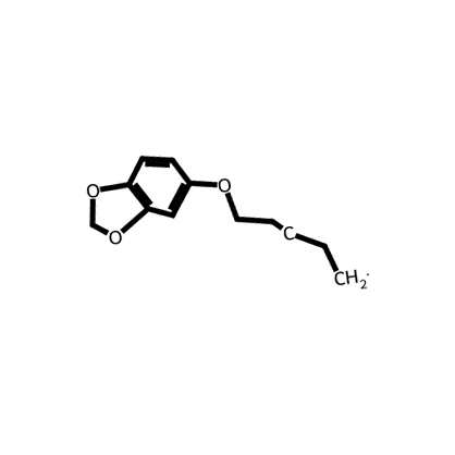 [CH2]CCCCOc1ccc2c(c1)OCO2